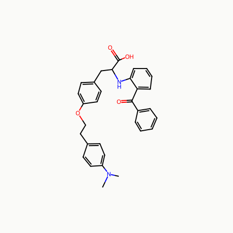 CN(C)c1ccc(CCOc2ccc(CC(Nc3ccccc3C(=O)c3ccccc3)C(=O)O)cc2)cc1